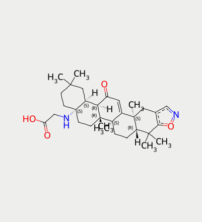 CC1(C)CC[C@]2(NCC(=O)O)CC[C@]3(C)[C@H](C(=O)C=C4[C@@]5(C)Cc6cnoc6C(C)(C)[C@@H]5CC[C@]43C)[C@@H]2C1